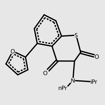 CCCN(C(C)C)C1C(=O)Sc2cccc(-c3ccco3)c2C1=O